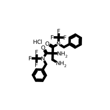 Cl.NCC(N)(C(=O)N(Cc1ccccc1)C(F)(F)F)C(=O)N(Cc1ccccc1)C(F)(F)F